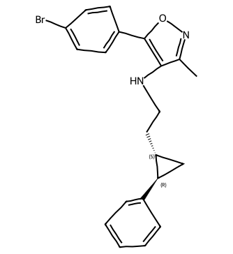 Cc1noc(-c2ccc(Br)cc2)c1NCC[C@@H]1C[C@H]1c1ccccc1